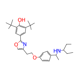 CCC(CC)NC(C)c1ccc(OCCc2coc(-c3cc(C(C)(C)C)c(O)c(C(C)(C)C)c3)n2)cc1